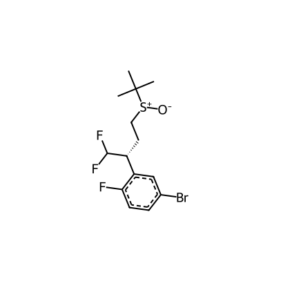 CC(C)(C)[S+]([O-])CC[C@H](c1cc(Br)ccc1F)C(F)F